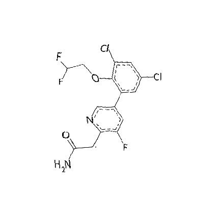 NC(=O)[CH]c1ncc(-c2cc(Cl)cc(Cl)c2OCC(F)F)cc1F